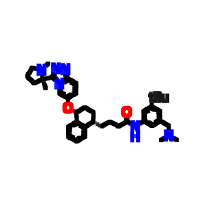 CN(C)Cc1cc(NC(=O)CCC[C@H]2CC[C@@H](Oc3ccc4nnc([C@]5(C)CCCN5C)n4c3)c3ccccc32)cc(C(C)(C)C)c1